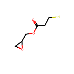 O=C(CCS)OCC1CO1